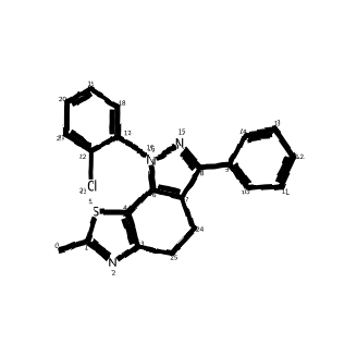 Cc1nc2c(s1)-c1c(c(-c3ccccc3)nn1-c1ccccc1Cl)CC2